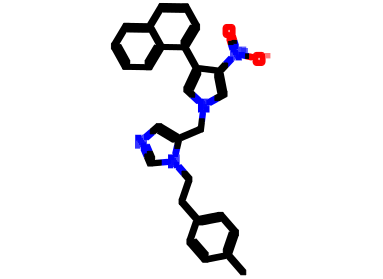 Cc1ccc(CCn2cncc2Cn2cc(-c3cccc4ccccc34)c([N+](=O)[O-])c2)cc1